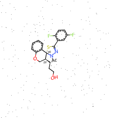 CC(=O)N1N=C(c2cc(F)ccc2F)S[C@]12c1ccccc1OC[C@@H]2CCCO